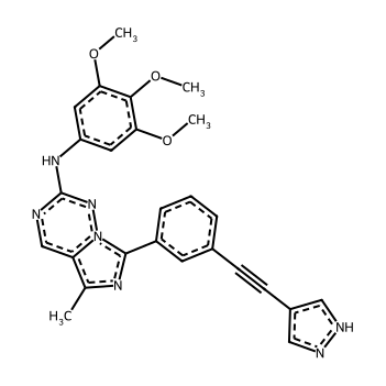 COc1cc(Nc2ncc3c(C)nc(-c4cccc(C#Cc5cn[nH]c5)c4)n3n2)cc(OC)c1OC